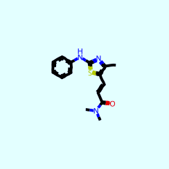 Cc1nc(Nc2ccccc2)sc1C=CC(=O)N(C)C